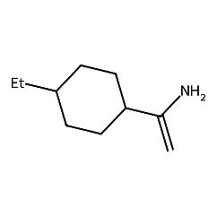 C=C(N)C1CCC(CC)CC1